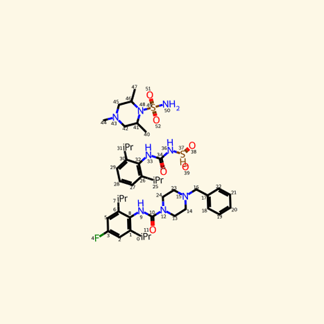 CC(C)c1cc(F)cc(C(C)C)c1NC(=O)N1CCN(Cc2ccccc2)CC1.CC(C)c1cccc(C(C)C)c1NC(=O)N[SH](=O)=O.CC1CN(C)CC(C)N1S(N)(=O)=O